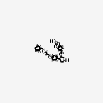 Br.c1ccc(COCCCOc2ccc(C3CCNCC3OCc3ccc4c(c3)OCO4)cc2)cc1